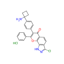 Cl.NC1(c2ccc(-c3c(-c4ccccc4)oc4c(ccc5c(Cl)n[nH]c54)c3=O)cc2)CCC1